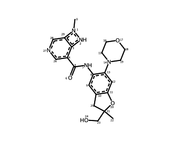 Cn1[nH]c2c(C(=O)Nc3cc4c(cc3N3CCOCC3)OC(C)(CO)C4)cncc21